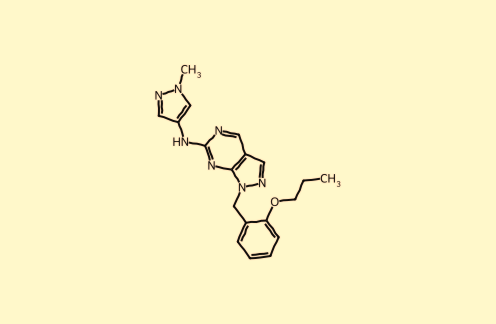 CCCOc1ccccc1Cn1ncc2cnc(Nc3cnn(C)c3)nc21